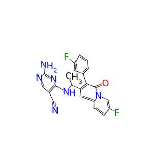 CC(Nc1nc(N)ncc1C#N)c1cc2ccc(F)cn2c(=O)c1-c1cccc(F)c1